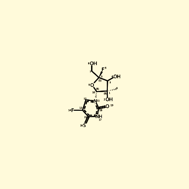 C[C@@]1(O)C(O)[C@@](F)(CO)O[C@H]1n1cc(F)c(=S)[nH]c1=O